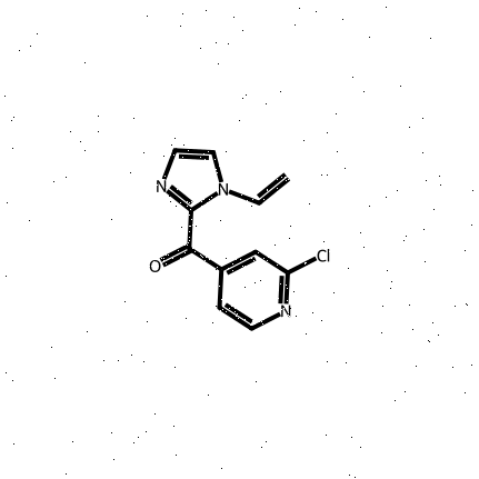 C=Cn1ccnc1C(=O)c1ccnc(Cl)c1